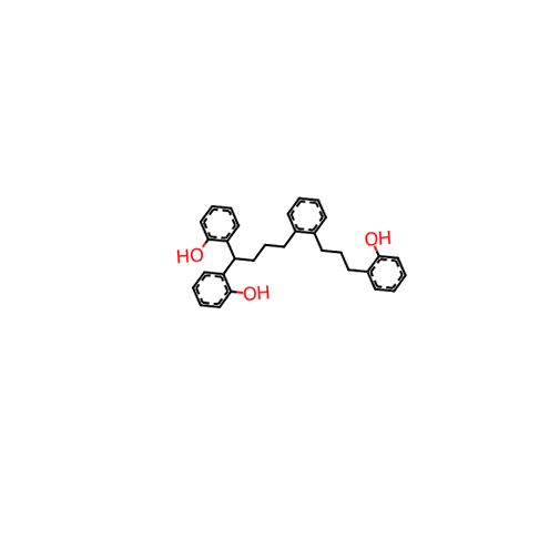 Oc1ccccc1CCCc1ccccc1CCCC(c1ccccc1O)c1ccccc1O